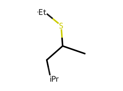 C[CH]SC(C)CC(C)C